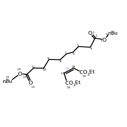 CCCCOC(=O)CCCCCCCCC(=O)OCCCC.CCOC(=O)/C=C\C(=O)OCC